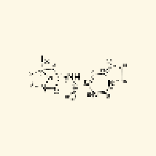 O=C(N[C@@H]1C[C@@H]2CCN(C2)C1)c1cc2cccn2cn1